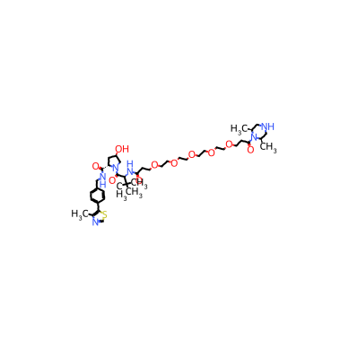 Cc1ncsc1-c1ccc(CNC(=O)[C@@H]2C[C@@H](O)CN2C(=O)[C@@H](NC(=O)CCOCCOCCOCCOCCOCCC(=O)N2[C@H](C)CNC[C@@H]2C)C(C)(C)C)cc1